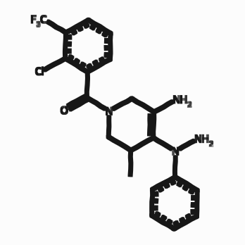 CC1CN(C(=O)c2cccc(C(F)(F)F)c2Cl)CC(N)=C1N(N)c1ccccc1